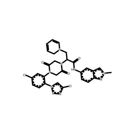 Cn1cc2cc(NC(=O)C(CN3C=CC=CC3)N3CC(=O)N(c4cc(Cl)ccc4-n4cc(Cl)nn4)CC3=O)ccc2n1